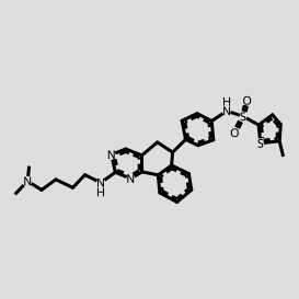 Cc1ccc(S(=O)(=O)Nc2ccc(C3Cc4cnc(NCCCCN(C)C)nc4-c4ccccc43)cc2)s1